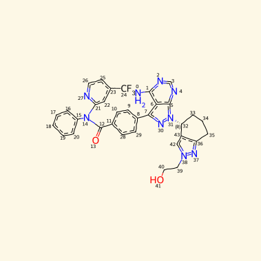 Nc1ncnc2c1c(-c1ccc(C(=O)N(c3ccccc3)c3cc(C(F)(F)F)ccn3)cc1)nn2[C@@H]1CCCc2nn(CCO)cc21